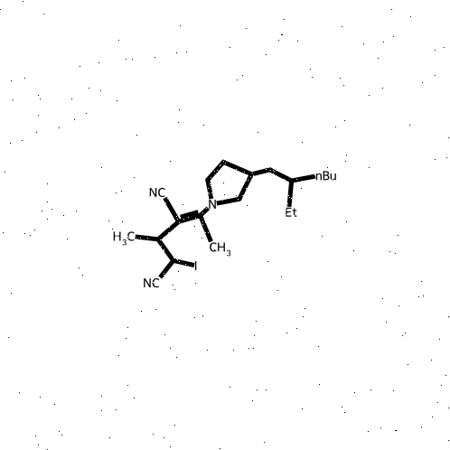 CCCCC(CC)CC1CCN(/C(C)=C(\C#N)C(C)C(I)C#N)C1